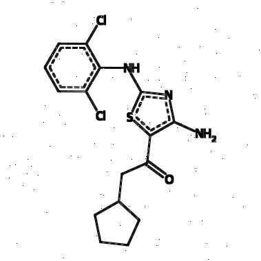 Nc1nc(Nc2c(Cl)cccc2Cl)sc1C(=O)CC1CCCC1